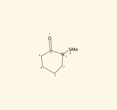 CSN1CCCCC1=O